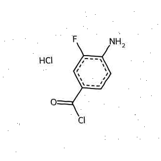 Cl.Nc1ccc(C(=O)Cl)cc1F